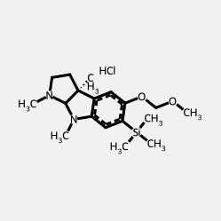 COCOc1cc2c(cc1[Si](C)(C)C)N(C)C1N(C)CC[C@@]21C.Cl